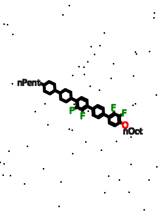 CCCCCCCCOc1ccc(-c2ccc(-c3ccc(C4CCC(C5CCC(CCCCC)CC5)CC4)c(F)c3F)cc2)c(F)c1F